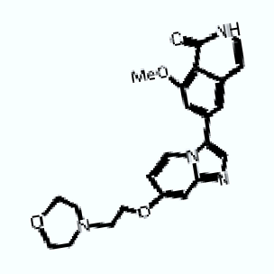 COc1cc(-c2cnc3cc(OCCN4CCOCC4)ccn23)cc2cc[nH]c(=O)c12